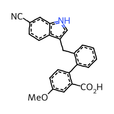 COc1ccc(-c2ccccc2Cc2c[nH]c3cc(C#N)ccc23)c(C(=O)O)c1